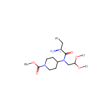 CCOC(CN(C(=O)[C@@H](N)CC(C)C)C1CCN(C(=O)OC(C)(C)C)CC1)OCC